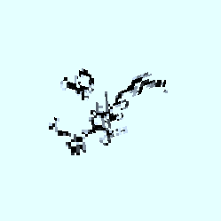 CN(C)CCn1nnnc1SCC1=C(C(=O)O)N2C(=O)[C@@H](NC(=O)Cc3csc(N)n3)[C@H]2SC1.O=C1C[C@H]2SCC=CN12